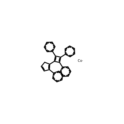 C1=CC(c2ccccc2)=C(C2=C(c3ccccc3)C(c3ccccc3)=C2c2ccccc2)C1.[Co]